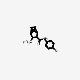 O=C(O)C1C(C(=O)Nc2ccc(Br)cc2)C2C=CC1C21CC1